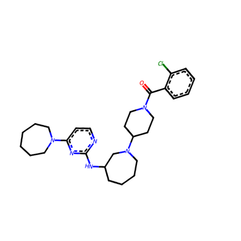 O=C(c1ccccc1Cl)N1CCC(N2CCCCC(Nc3nccc(N4CCCCCC4)n3)C2)CC1